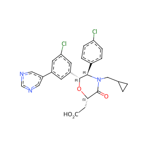 O=C(O)C[C@@H]1O[C@H](c2cc(Cl)cc(-c3cncnc3)c2)[C@@H](c2ccc(Cl)cc2)N(CC2CC2)C1=O